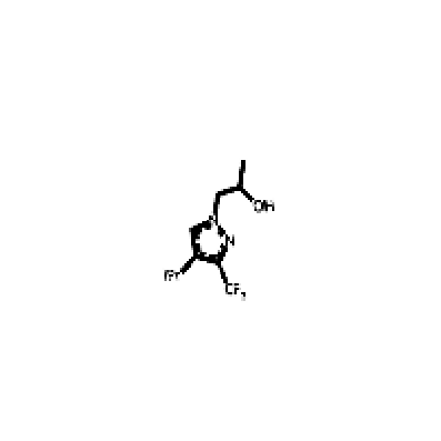 CC(O)Cn1cc(C(C)C)c(C(F)(F)F)n1